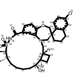 C[C@@H]1[C@@H](C)CCCC[C@H](O)[C@@H]2CC[C@H]2CN2C[C@@]3(CCCc4cc(Cl)ccc43)COc3ccc(cc32)C(=O)NS1(=O)=O